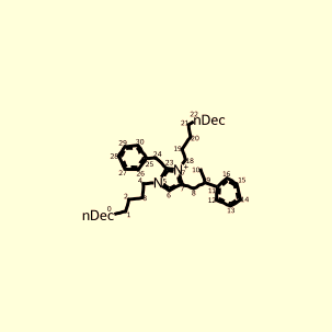 CCCCCCCCCCCCCCn1cc(CC(C)c2ccccc2)[n+](CCCCCCCCCCCCCC)c1Cc1ccccc1